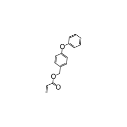 C=CC(=O)OCc1ccc(Oc2ccccc2)cc1